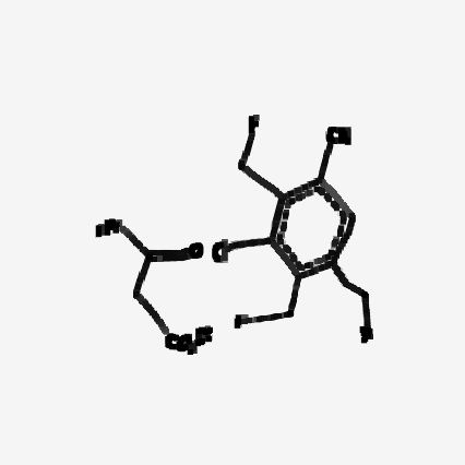 CCCC(=O)CC(=O)OCC.N#Cc1cc(CF)c(CF)c(Cl)c1CF